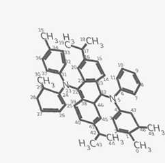 CC1=CC=C(N(c2ccccc2)C2c3ccc(C(C)C)cc3C(N(C3=CC=CCC3C)c3ccc(C)cc3)=C3C=CC(C(C)C)=CC32)CC1C